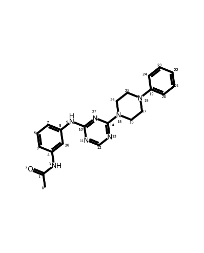 CC(=O)Nc1cccc(Nc2ncnc(N3CCN(c4ccccc4)CC3)n2)c1